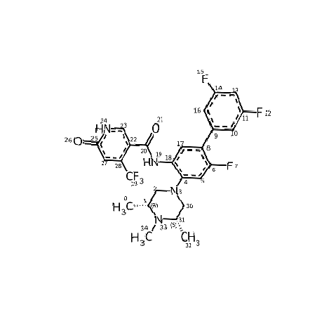 C[C@@H]1CN(c2cc(F)c(-c3cc(F)cc(F)c3)cc2NC(=O)c2c[nH]c(=O)cc2C(F)(F)F)C[C@H](C)N1C